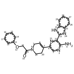 Nc1ncc(C2=CCN(C(=O)COc3ccccc3)CC2)nc1-c1nc2ccccc2[nH]1